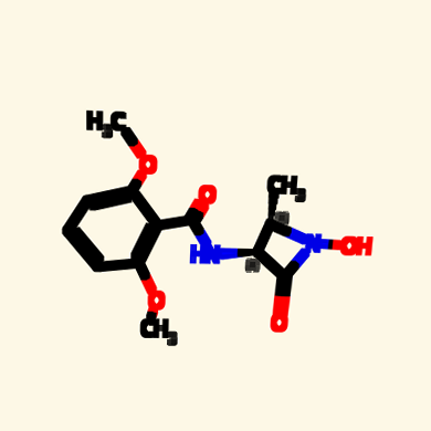 COc1cccc(OC)c1C(=O)N[C@@H]1C(=O)N(O)[C@H]1C